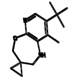 Cc1c(C(C)(C)C)cnc2c1NCC1(CC1)CO2